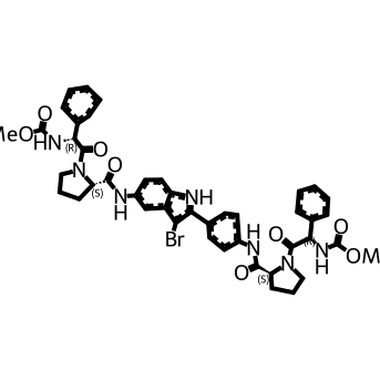 COC(=O)N[C@@H](C(=O)N1CCC[C@H]1C(=O)Nc1ccc(-c2[nH]c3ccc(NC(=O)[C@@H]4CCCN4C(=O)[C@H](NC(=O)OC)c4ccccc4)cc3c2Br)cc1)c1ccccc1